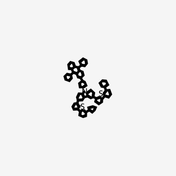 c1ccc(-c2c3ccccc3c(-c3ccccc3)c3cc(-c4ccc(-n5c6ccc(-c7cccc8c7sc7c(-c9ccccc9)cccc78)cc6c6cc(-c7cccc8c7sc7c(-c9ccccc9)cccc78)ccc65)cc4)ccc23)cc1